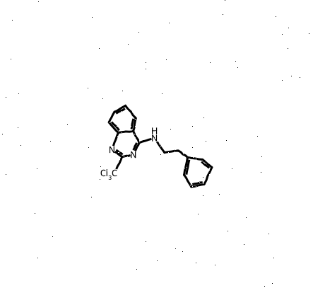 ClC(Cl)(Cl)c1nc(NCCc2ccccc2)c2ccccc2n1